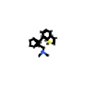 CN(C)CC1C2CCC(C2)C1c1cccc2ccsc12